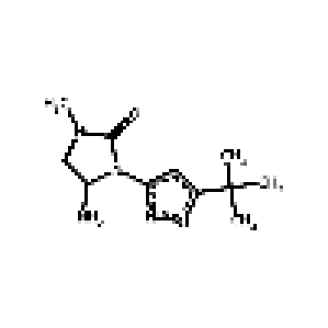 CN1CC(N)N(c2cc(C(C)(C)C)on2)C1=O